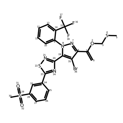 C=C(OCSC)c1nn(-c2ccccc2C(F)(F)F)c(-c2nsc(-c3cccc(S(C)(=O)=O)c3)n2)c1Br